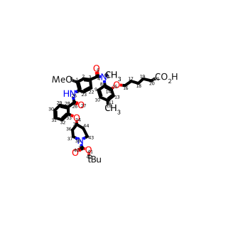 COc1cc(C(=O)N(C)c2ccc(C)cc2OCCCCCC(=O)O)ccc1NC(=O)c1ccccc1OC1CCN(C(=O)OC(C)(C)C)CC1